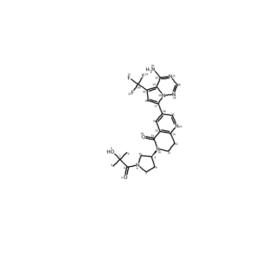 CC(C)(O)C(=O)N1CC[C@H](N2CCc3ncc(-c4cc(C(F)(F)F)c5c(N)ncnn45)cc3C2=O)C1